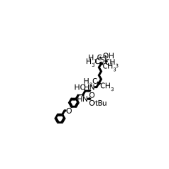 CC(C)(CCCCC(C)(C)[Si](C)(C)O)CNC[C@@H](O)[C@H](Cc1ccc(OCc2ccccc2)cc1)NC(=O)OC(C)(C)C